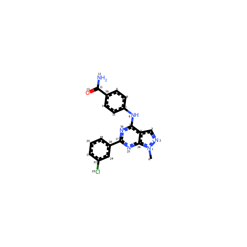 Cn1ncc2c(Nc3ccc(C(N)=O)cc3)nc(-c3cccc(Cl)c3)nc21